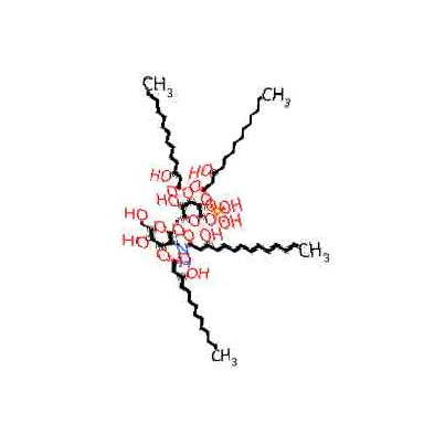 CCCCCCCCCCC[C@@H](O)CC(=O)N[C@H]1[C@H](OC[C@H]2O[C@H](OP(=O)(O)O)[C@H](OC(=O)C[C@H](O)CCCCCCCCCCC)[C@@H](OC(=O)C[C@H](O)CCCCCCCCCCC)[C@@H]2O)O[C@H](CO)[C@@H](O)[C@@H]1OC(=O)C[C@H](O)CCCCCCCCCCC